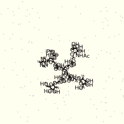 CC(=O)NC1[C@H](OCCOP(=O)(O)OCOCC(COCOP(=O)(O)OCCO[C@@H]2OC(CO)[C@H](O)[C@H](O)C2C)(COCOP(=O)(O)OCCO[C@@H]2OC(CO)[C@H](O)[C@H](O)C2C)COP(=O)(O)OC[C@H]2O[C@@H](n3cnc4c(C)ncnc43)C[C@@H]2OP(=O)(O)OC(C)C)OC(CO)[C@H](O)[C@@H]1O